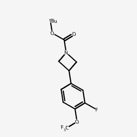 CC(C)(C)OC(=O)N1CC(c2ccc(OC(F)(F)F)c(F)c2)C1